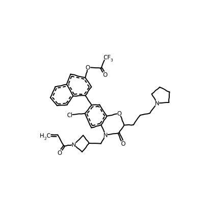 C=CC(=O)N1CC(CN2C(=O)C(CCCN3CCCC3)Oc3cc(-c4cc(OC(=O)C(F)(F)F)cc5ccccc45)c(Cl)cc32)C1